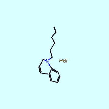 Br.CCCCCCN1CC=Cc2ccccc21